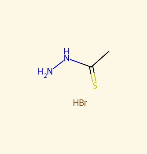 Br.CC(=S)NN